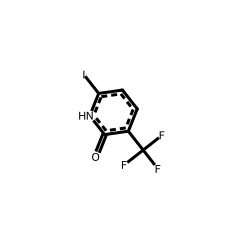 O=c1[nH]c(I)ccc1C(F)(F)F